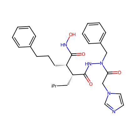 CC(C)C[C@@H](C(=O)NN(Cc1ccccc1)C(=O)Cn1ccnc1)[C@H](CCCc1ccccc1)C(=O)NO